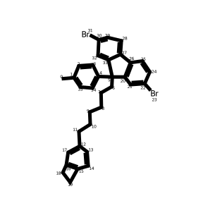 Cc1ccc(C2(CCCCCCc3ccc4c(c3)CC4)c3cc(Br)ccc3-c3ccc(Br)cc32)cc1